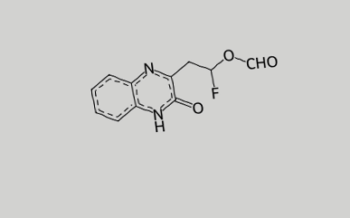 O=COC(F)Cc1nc2ccccc2[nH]c1=O